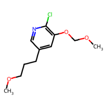 COCCCc1cnc(Cl)c(OCOC)c1